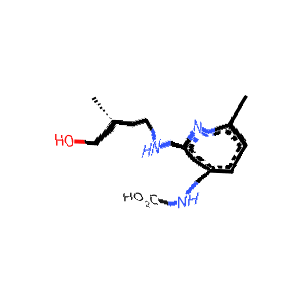 Cc1ccc(NC(=O)O)c(NC[C@@H](C)CO)n1